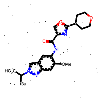 COc1cc2nn(C(C(=O)O)C(C)(C)C)cc2cc1NC(=O)c1coc(C2CCOCC2)n1